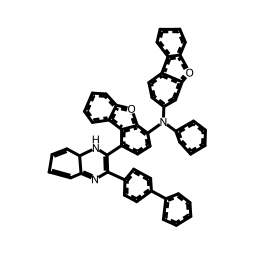 C1=CC2=NC(c3ccc(-c4ccccc4)cc3)=C(c3ccc(N(c4ccccc4)c4ccc5c(c4)oc4ccccc45)c4oc5ccccc5c34)NC2C=C1